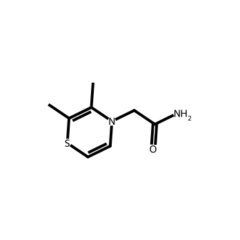 CC1=C(C)N(CC(N)=O)C=CS1